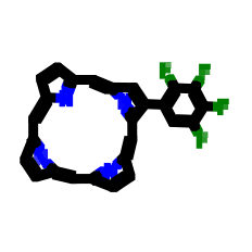 Fc1cc(C2=CC3=CC4=NC(=CC5=NC(=CC6=NC(=CC2=N3)C=C6)C=C5)C=C4)c(F)c(F)c1F